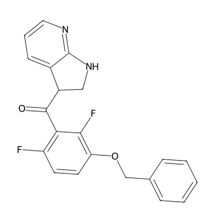 O=C(c1c(F)ccc(OCc2ccccc2)c1F)C1CNc2ncccc21